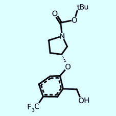 CC(C)(C)OC(=O)N1CC[C@@H](Oc2ccc(C(F)(F)F)cc2CO)C1